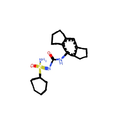 NS(=O)(=NC(=O)Nc1c2c(cc3c1CCC3)CCC2)C1CCCCC1